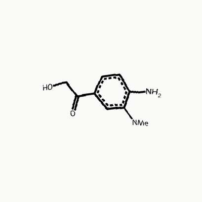 CNc1cc(C(=O)CO)ccc1N